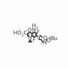 C[C@H]([C@H]1CCN(c2c(F)c(N)c3c(=O)c(C(=O)O)cn(C4CC4)c3c2F)C1)N(C)C(=O)OC(C)(C)C